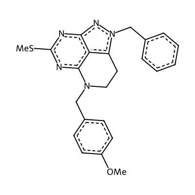 COc1ccc(CN2CCc3c4c2nc(SC)nc4nn3Cc2ccccc2)cc1